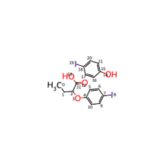 CCC(Oc1ccc(I)cc1)C(=O)O.Oc1ccc(I)cc1